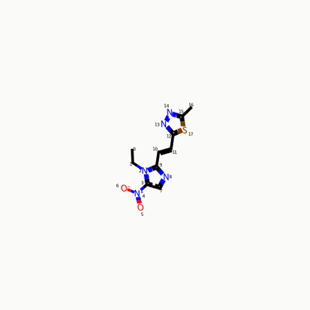 CCn1c([N+](=O)[O-])cnc1C=Cc1nnc(C)s1